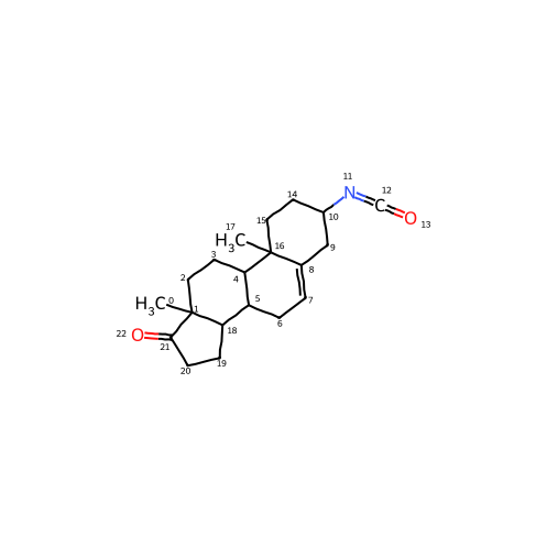 CC12CCC3C(CC=C4CC(N=C=O)CCC43C)C1CCC2=O